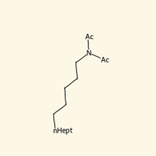 CCCCCCCCCCCCN(C(C)=O)C(C)=O